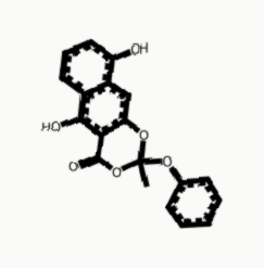 CC1(Oc2ccccc2)OC(=O)c2c(cc3c(O)cccc3c2O)O1